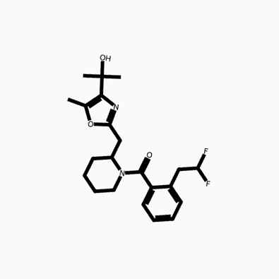 Cc1oc(CC2CCCCN2C(=O)c2ccccc2CC(F)F)nc1C(C)(C)O